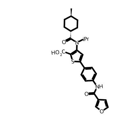 CC(C)N(c1cc(-c2ccc(NC(=O)c3ccoc3)cc2)sc1C(=O)O)C(=O)[C@H]1CC[C@H](C)CC1